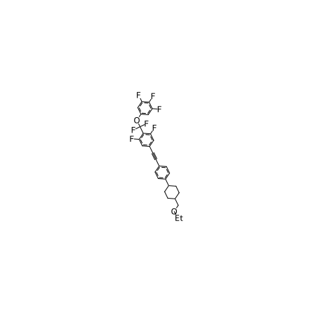 CCOCC1CCC(c2ccc(C#Cc3cc(F)c(C(F)(F)Oc4cc(F)c(F)c(F)c4)c(F)c3)cc2)CC1